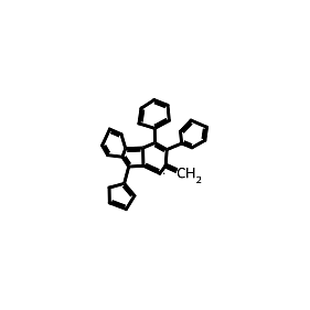 C=c1[c]c2c(c(-c3ccccc3)c1-c1ccccc1)=c1ccccc1=C2C1=CC=CC1